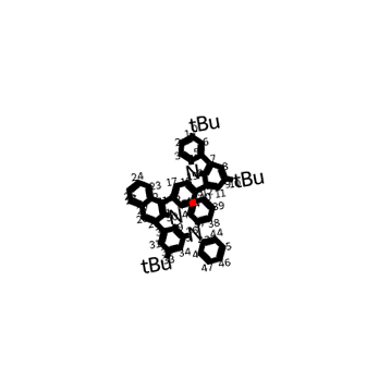 CC(C)(C)c1ccc2c(c1)c1cc(C(C)(C)C)cc3c4cc5c(cc4n2c13)c1c2ccccc2cc2c3cc(C(C)(C)C)cc(N(c4ccccc4)c4ccccc4)c3n5c21